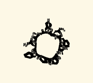 CC(C)[C@@H]1NC(=O)[C@H](Cc2c[nH]cn2)NC(=O)[C@H](CC(N)=O)NC(=O)[C@H](Cc2ccccc2)NC(=O)[C@H]([C@@H](C)O)NC(=O)[C@@H]2CCCN2C(=O)[C@@H]2CCCN2C(=O)[C@H](Cc2ccccc2)NC(=O)[C@H](CC(N)=O)NC1=O